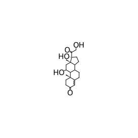 C[C@]12CCC(=O)C=C1CCC1C2[C@@H](O)C[C@@]2(C)C1CC[C@]2(O)C(=O)CO